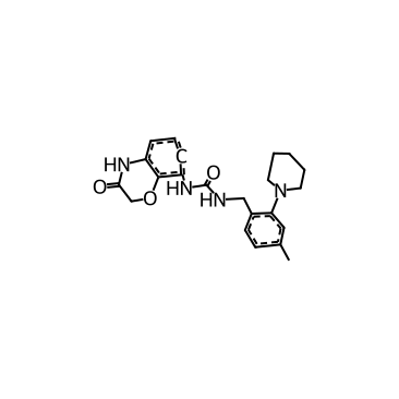 Cc1ccc(CNC(=O)Nc2cccc3c2OCC(=O)N3)c(N2CCCCC2)c1